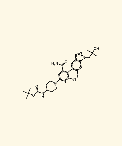 CC(C)(O)Cn1ncc2cc(-c3c(C(N)=O)cc(N4CCC(NC(=O)OC(C)(C)C)CC4)nc3Cl)c(F)cc21